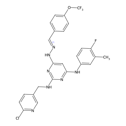 Cc1cc(Nc2cc(N/N=C/c3ccc(OC(F)(F)F)cc3)nc(NCc3ccc(Cl)nc3)n2)ccc1F